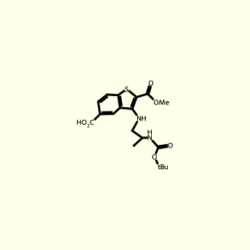 COC(=O)c1sc2ccc(C(=O)O)cc2c1NCC(C)NC(=O)OC(C)(C)C